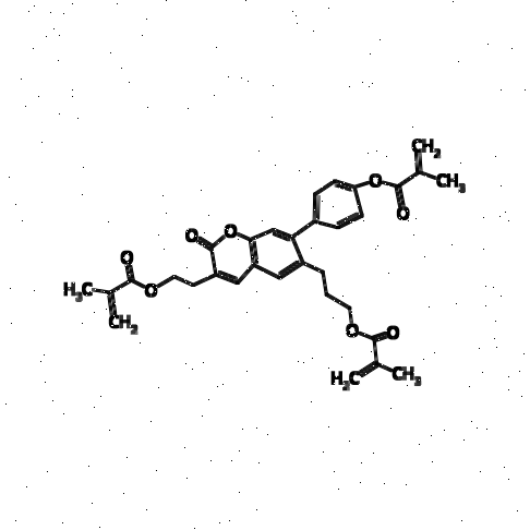 C=C(C)C(=O)OCCCc1cc2cc(CCOC(=O)C(=C)C)c(=O)oc2cc1-c1ccc(OC(=O)C(=C)C)cc1